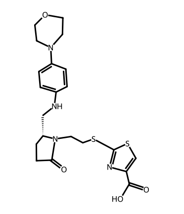 O=C(O)c1csc(SCCN2C(=O)CC[C@@H]2CNc2ccc(N3CCOCC3)cc2)n1